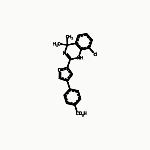 CC1(C)N=C(c2cc(-c3ccc(C(=O)O)cc3)co2)Nc2c(Cl)cccc21